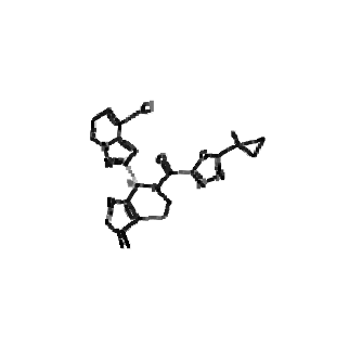 CC1(c2nnc(C(=O)N3CCc4[nH]cnc4[C@@H]3c3cc4c(Cl)cccn4n3)o2)CC1